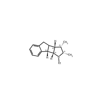 CCN1[C@H]2[C@H](C3Cc4ccccc4[C@H]32)[C@H](C)[C@@H]1C